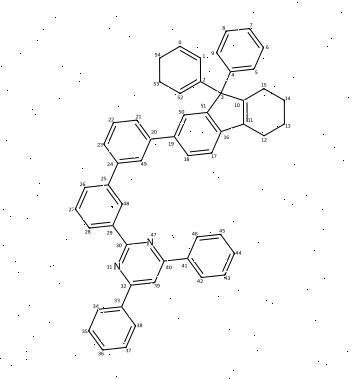 C1=CC(C2(c3ccccc3)C3=C(CCCC3)c3ccc(-c4cccc(-c5cccc(-c6nc(-c7ccccc7)cc(-c7ccccc7)n6)c5)c4)cc32)=CCC1